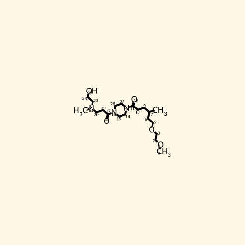 COCCOCCC(C)CCC(=O)N1CCN(C(=O)CCN(C)CCO)CC1